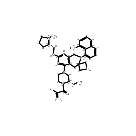 C=C(F)C(=O)N1CCN(c2nc(OC[C@@H]3CCCN3C)nc3c2CC2(COC2)N(c2cccc4cccc(C)c24)C3)C[C@@H]1CC#N